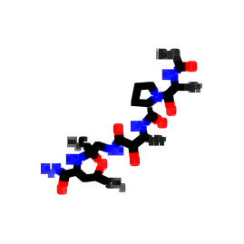 CCCC(NC(=O)[C@@H]1CCCN1C(=O)C(NC(=O)OCC(C)C)C(C)C)C(=O)C(=O)NCC1(C)NC(C(N)=O)CC(C)O1